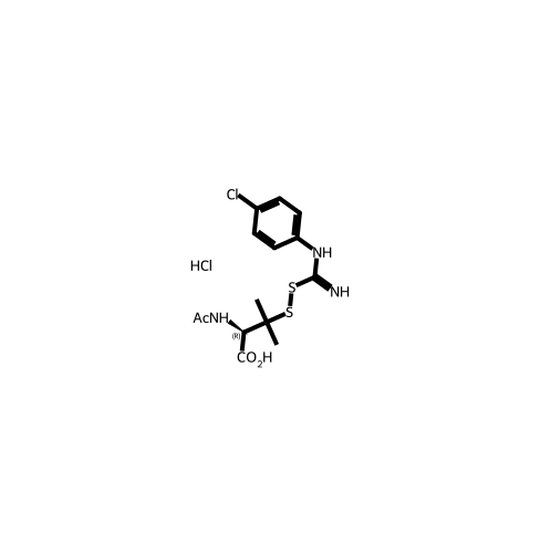 CC(=O)N[C@H](C(=O)O)C(C)(C)SSC(=N)Nc1ccc(Cl)cc1.Cl